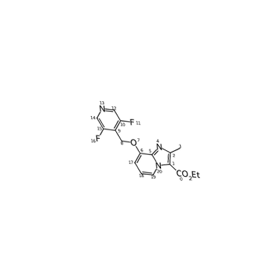 CCOC(=O)c1c(C)nc2c(OCc3c(F)cncc3F)cccn12